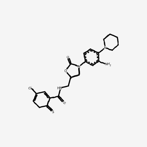 Nc1cc(N2CC(CNC(=O)C3=CC(Cl)=CCC3=S)OC2=O)ccc1N1CCCCC1